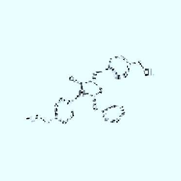 COc1ccc(N2C(=O)C(=Cc3ccc(SC)cc3)SC2=Nc2ccccc2)cc1